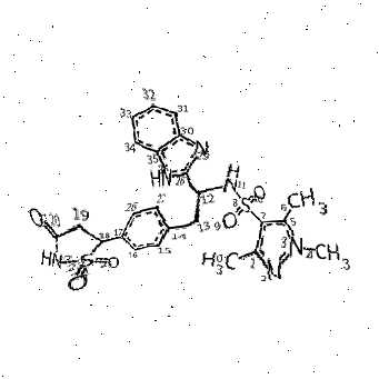 Cc1nn(C)c(C)c1S(=O)(=O)N[C@@H](Cc1ccc(C2CC(=O)NS2(=O)=O)cc1)c1nc2ccccc2[nH]1